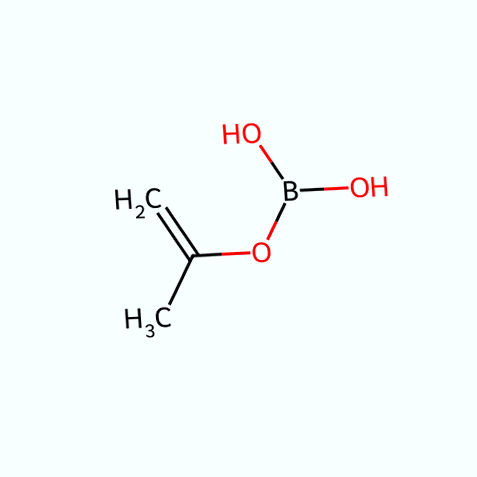 C=C(C)OB(O)O